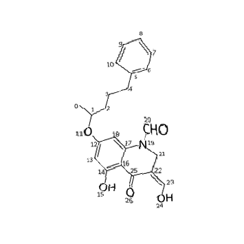 CC(CCCc1ccccc1)Oc1cc(O)c2c(c1)N(C=O)CC(=CO)C2=O